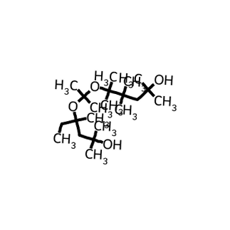 CCC(C)(CC(C)(C)O)OC(C)(C)OC(C)(C)C(C)(C)CC(C)(C)O